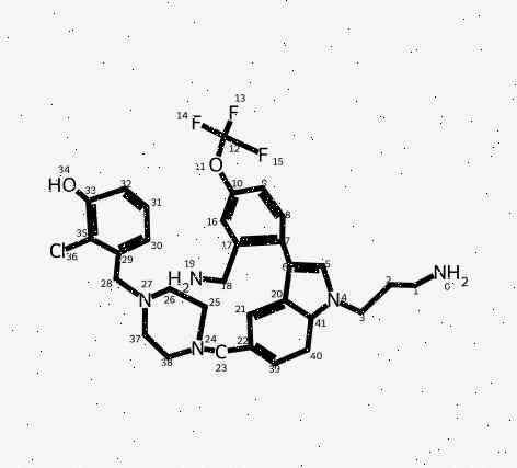 NCCCN1C=C(c2ccc(OC(F)(F)F)cc2CN)C2=CC(CN3CCN(Cc4cccc(O)c4Cl)CC3)=CCC21